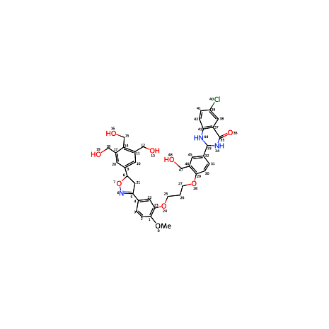 COc1ccc(C2=NOC(c3cc(CO)c(CO)c(CO)c3)C2)cc1OCCCOc1ccc(C2NC(=O)c3cc(Cl)ccc3N2)cc1CO